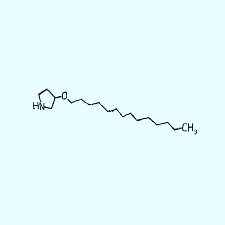 CCCCCCCCCCCCCCOC1CCNC1